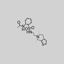 CC(=O)Nc1ccccc1S(=O)(=O)NCCN1[C@H](C)Cc2ccsc2[C@@H]1C